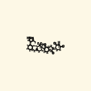 Cc1n[nH]cc1-c1cccc(CN2CCC3(COc4c3ccc3c4CN([C@H]4CCC(=O)NC4=O)C3=O)C(F)(F)C2)c1